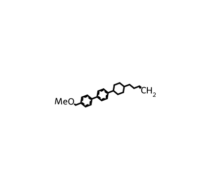 C=CCCC1CCC(c2ccc(-c3ccc(COC)cc3)cc2)CC1